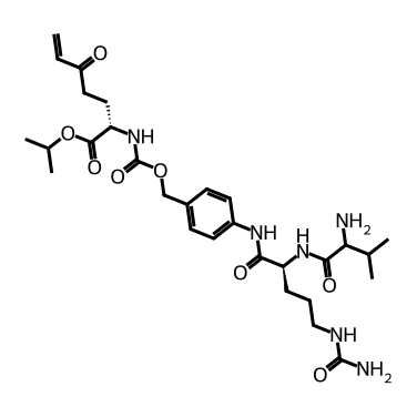 C=CC(=O)CC[C@H](NC(=O)OCc1ccc(NC(=O)[C@H](CCCNC(N)=O)NC(=O)C(N)C(C)C)cc1)C(=O)OC(C)C